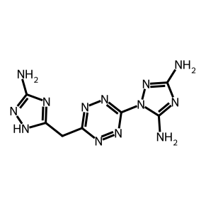 Nc1n[nH]c(Cc2nnc(-n3nc(N)nc3N)nn2)n1